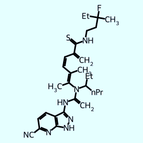 C=C(/C=C\C(C)=C(/C)N(C(=C)Nc1n[nH]c2nc(C#N)ccc12)C(CC)CCC)C(=S)NCCC(C)(F)CC